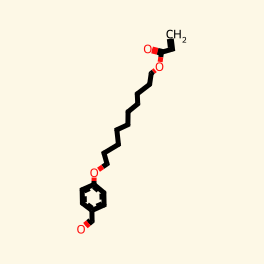 C=CC(=O)OCCCCCCCCCCOc1ccc(C=O)cc1